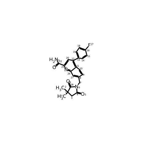 CC1(C)CC(=O)N(Cc2ccc3c(-c4ccc(F)cc4)cc(C(N)=O)nc3c2)C1=O